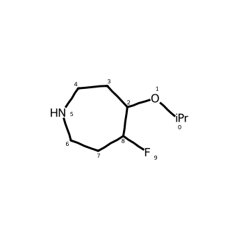 CC(C)OC1CCNCCC1F